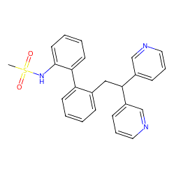 CS(=O)(=O)Nc1ccccc1-c1ccccc1CC(c1cccnc1)c1cccnc1